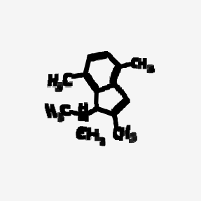 CC1=Cc2c(C)ccc(C)c2C1[SiH](C)C